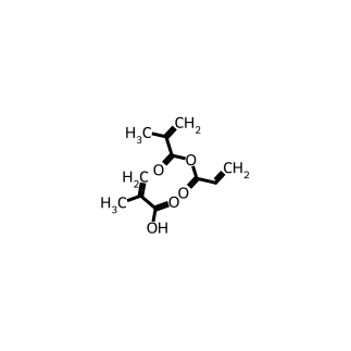 C=C(C)C(=O)O.C=CC(=O)OC(=O)C(=C)C